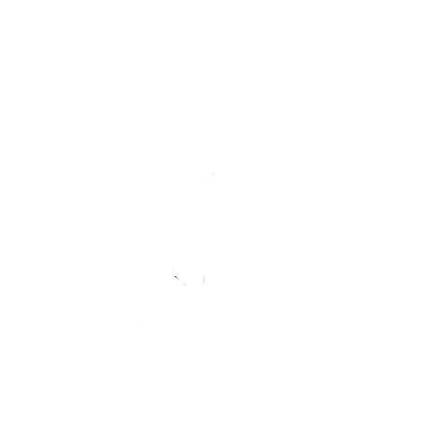 CC1OC2(CCC3=C(CC[C@@H]4C3=CC[C@]3(C)C(=O)CC[C@@H]43)C2)O1